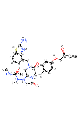 CCCCNC(=O)N(C(C)C)N1CC(=O)N2[C@@H](Cc3ccc(OCC(=O)OC)cc3)C(=O)N(Cc3cccc4sc(N)nc34)C[C@@H]21